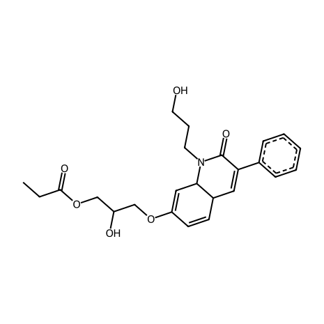 CCC(=O)OCC(O)COC1=CC2C(C=C1)C=C(c1ccccc1)C(=O)N2CCCO